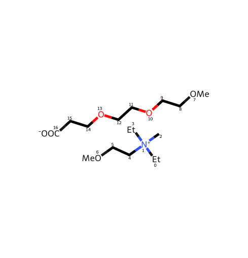 CC[N+](C)(CC)CCOC.COCCOCCOCCC(=O)[O-]